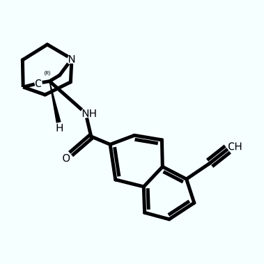 C#Cc1cccc2cc(C(=O)N[C@@H]3CC4CCN(CC4)C3)ccc12